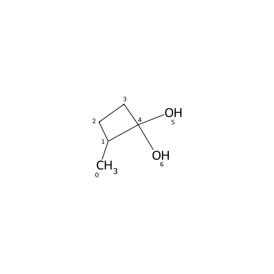 CC1CCC1(O)O